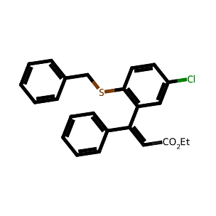 CCOC(=O)C=C(c1ccccc1)c1cc(Cl)ccc1SCc1ccccc1